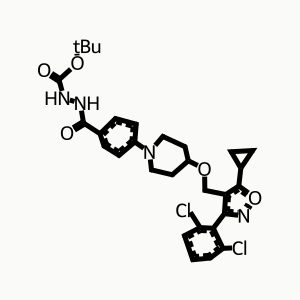 CC(C)(C)OC(=O)NNC(=O)c1ccc(N2CCC(OCc3c(-c4c(Cl)cccc4Cl)noc3C3CC3)CC2)cc1